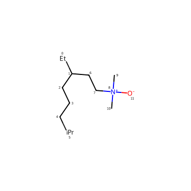 CCC(CCCC(C)C)CC[N+](C)(C)[O-]